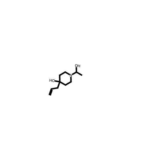 C=CCC1(O)CCN(C(C)O)CC1